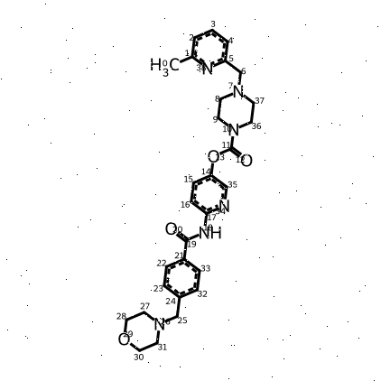 Cc1cccc(CN2CCN(C(=O)Oc3ccc(NC(=O)c4ccc(CN5CCOCC5)cc4)nc3)CC2)n1